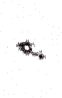 C[C@H](O)[C@H]1NC(O)[C@@H](Cc2cnc[nH]2)NC(=O)[C@@H](CO)NC(=O)[C@@H](Cc2cnc[nH]2)NC(=O)[C@@H](NC(=O)COCCOCCOCCNC(=O)CCCC[C@@H]2SC[C@@H]3NC(=O)N[C@@H]32)Cc2cn(nn2)CCCC[C@@H](C(N)=O)NC(=O)[C@@H](C)NC1=O